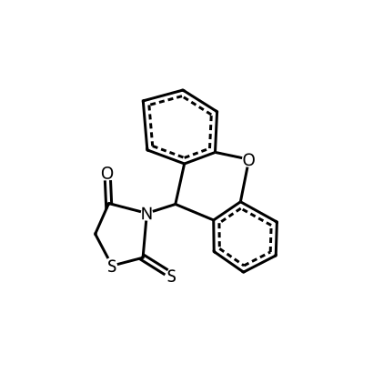 O=C1CSC(=S)N1C1c2ccccc2Oc2ccccc21